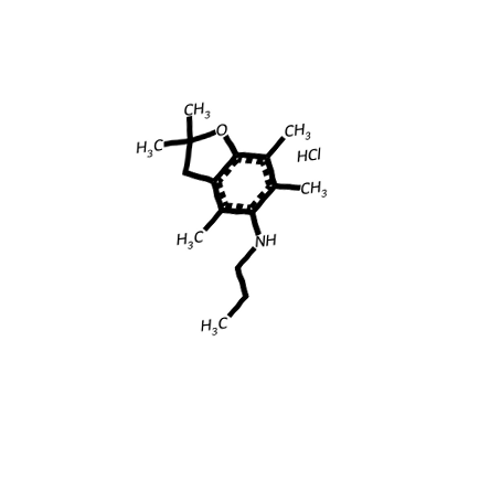 CCCNc1c(C)c(C)c2c(c1C)CC(C)(C)O2.Cl